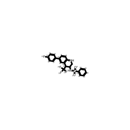 O=S(=O)(NC1CNc2ccc(-c3ccc(F)cc3)cc2C1C(F)(F)F)c1ccccc1